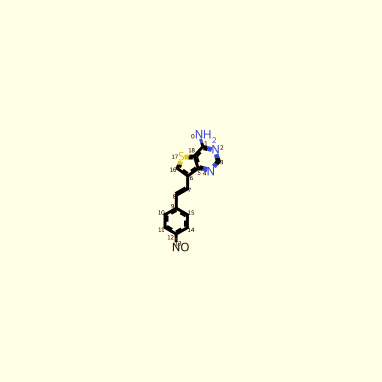 Nc1ncnc2c(/C=C/c3ccc(N=O)cc3)csc12